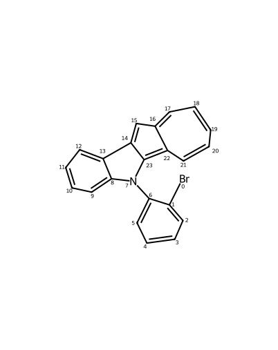 Brc1ccccc1-n1c2ccccc2c2cc3cccccc-3c21